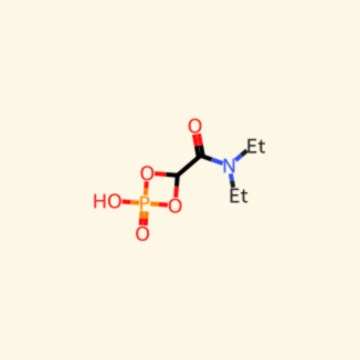 CCN(CC)C(=O)C1OP(=O)(O)O1